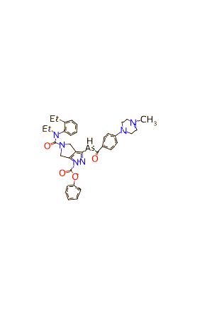 CCc1ccccc1N(CC)C(=O)N1Cc2c([AsH]C(=O)c3ccc(N4CCN(C)CC4)cc3)nn(C(=O)Oc3ccccc3)c2C1